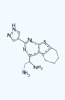 NCC(N)c1nc(-c2cn[nH]c2)nc2sc3c(c12)CCCC3